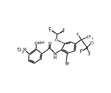 COc1c(C(=O)Nc2c(Br)cc(C(F)(C(F)(F)F)C(F)(F)Cl)cc2OC(F)F)cccc1[N+](=O)[O-]